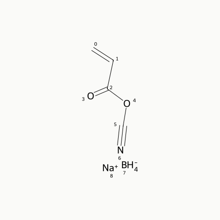 C=CC(=O)OC#N.[BH4-].[Na+]